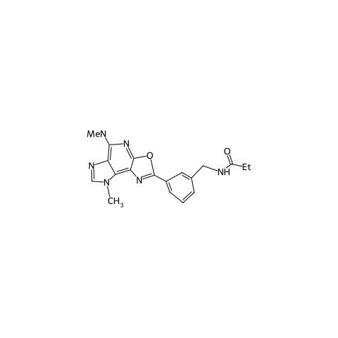 CCC(=O)NCc1cccc(-c2nc3c(nc(NC)c4ncn(C)c43)o2)c1